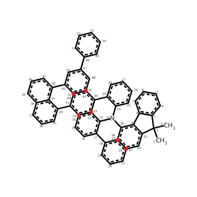 CC1(C)c2ccccc2-c2c(N(c3ccccc3-c3ccccc3)c3ccccc3-c3ccc(-c4cccc5cccc(-c6cccc(-c7ccccc7)c6)c45)cc3)cccc21